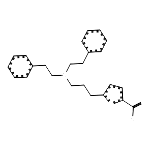 NC(=O)c1ccc(CCCN(C[C@@H](O)c2ccccc2)C[C@@H](O)c2ccccc2)s1